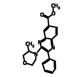 COC(=O)c1ccc2nc(-c3ccccc3)c(N3CCOCC3C)nc2c1